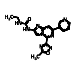 CCNC(=O)Nc1cn2c(-c3noc(C)n3)nc(-c3cccnc3)cc2n1